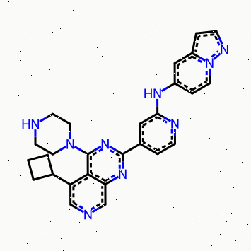 c1cc(-c2nc(N3CCNCC3)c3c(C4CCC4)cncc3n2)cc(Nc2ccn3nccc3c2)n1